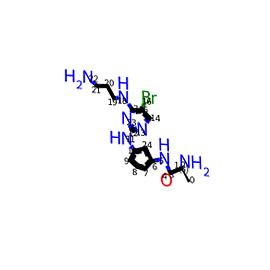 C[C@H](N)C(=O)Nc1cccc(Nc2ncc(Br)c(NCCCN)n2)c1